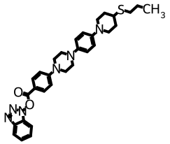 CCCSC1CCN(c2ccc(N3CCN(c4ccc(C(=O)On5nnc6ccccc65)cc4)CC3)cc2)CC1